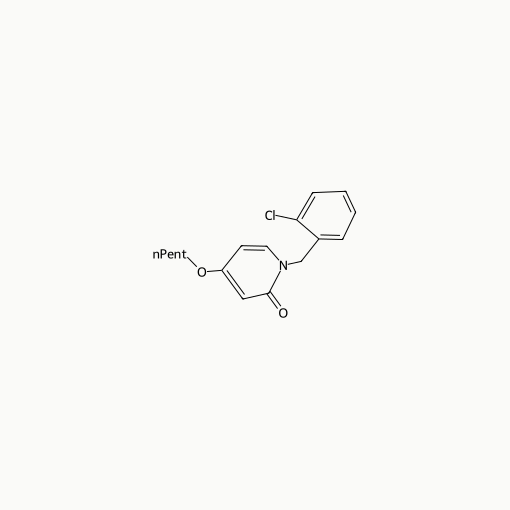 CCCCCOc1ccn(Cc2ccccc2Cl)c(=O)c1